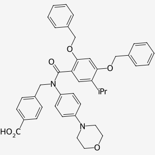 CC(C)c1cc(C(=O)N(Cc2ccc(C(=O)O)cc2)c2ccc(N3CCOCC3)cc2)c(OCc2ccccc2)cc1OCc1ccccc1